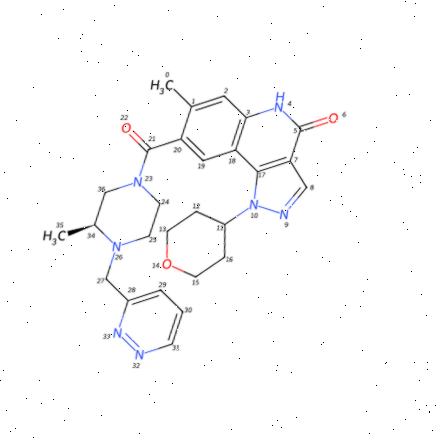 Cc1cc2[nH]c(=O)c3cnn(C4CCOCC4)c3c2cc1C(=O)N1CCN(Cc2cccnn2)[C@@H](C)C1